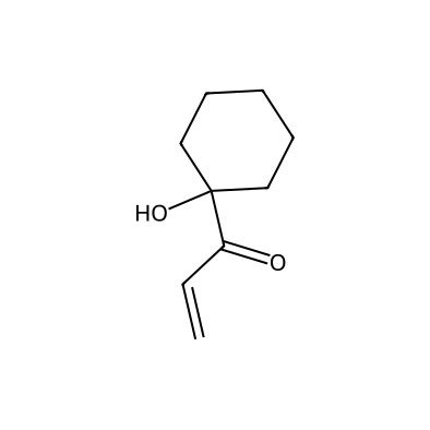 C=CC(=O)C1(O)CCCCC1